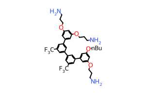 CCCCOc1cc(OCCCN)cc(-c2cc(-c3cc(-c4cc(OCCCN)cc(OCCCN)c4)cc(C(F)(F)F)c3)cc(C(F)(F)F)c2)c1